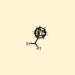 CCC(CC)[C]12[CH]3[CH]4[CH]5[CH]1[Fe]45321678[CH]2[CH]1[CH]6[CH]7[CH]28